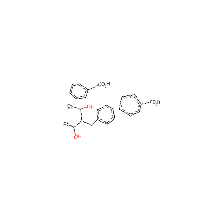 CCC(O)C(Cc1ccccc1)C(O)CC.O=C(O)c1ccccc1.O=C(O)c1ccccc1